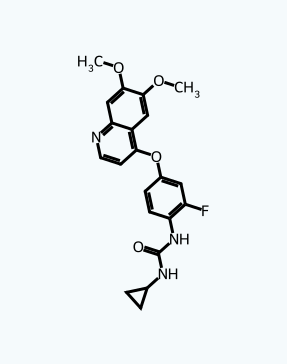 COc1cc2nccc(Oc3ccc(NC(=O)NC4CC4)c(F)c3)c2cc1OC